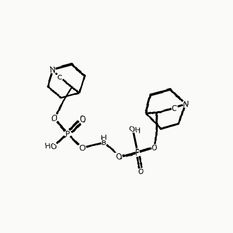 O=P(O)(OBOP(=O)(O)OC1CN2CCC1CC2)OC1CN2CCC1CC2